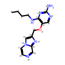 CCCCNc1nc(N)ncc1OCc1cn2ccncc2n1